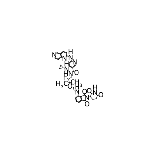 CC(C)(OCCNc1cccc2c1C(=O)N(C1CCC(=O)NC1=O)C2=O)C(F)CNC(=O)c1cnc(Nc2ccc3cnccc3n2)cc1NC1CC1